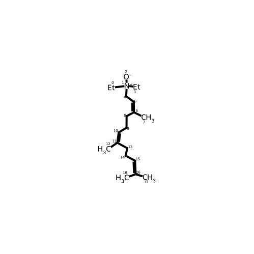 CC[N+]([O-])(CC)CC=C(C)CCC=C(C)CCC=C(C)C